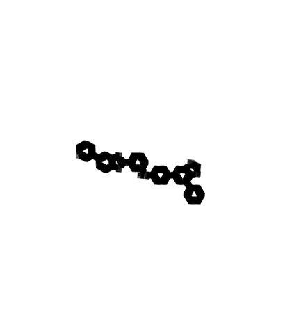 c1ccc(-c2cc(-c3ccc(Nc4cccc(-c5nc6cc(-c7cccnc7)ccc6s5)c4)cc3)cc3ncoc23)cc1